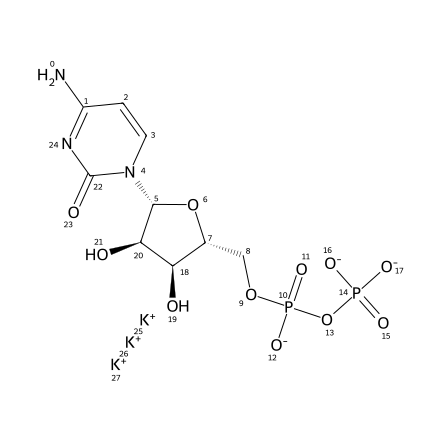 Nc1ccn([C@@H]2O[C@H](COP(=O)([O-])OP(=O)([O-])[O-])[C@@H](O)[C@H]2O)c(=O)n1.[K+].[K+].[K+]